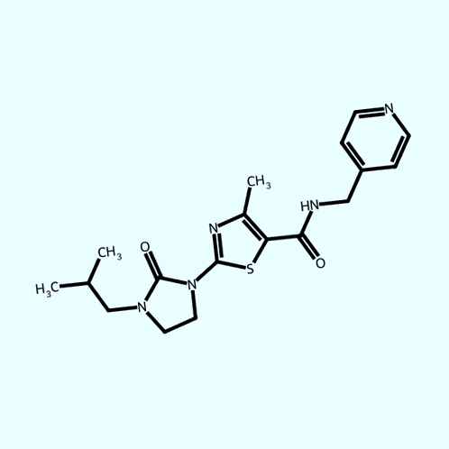 Cc1nc(N2CCN(CC(C)C)C2=O)sc1C(=O)NCc1ccncc1